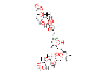 C=C1C(C[C@@H]2O[C@H]3C[C@H]4OC(C)(C)OC[C@H]4O[C@H]3[C@H](C)[C@H]2O)O[C@@H](CC[C@H](O)C(=C)C[C@H](Cl)CCC23CC4O[C@H]5[C@@H](O2)[C@H]2O[C@@H](CC(=O)OC)CC[C@@H]2O[C@H]5C4O3)C[C@H]1C